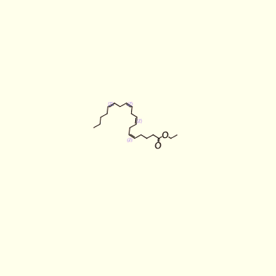 CCCC/C=C\C/C=C\C/C=C\C/C=C\CCCC(=O)OCC